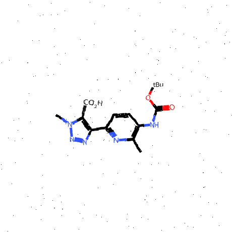 Cc1nc(-c2nnn(C)c2C(=O)O)ccc1NC(=O)OC(C)(C)C